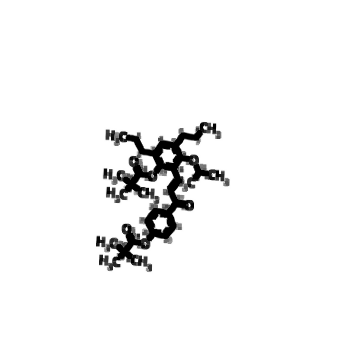 CCCc1cc(CCC)c(OC(C)C)c(C=CC(=O)c2ccc(OC(=O)C(C)(C)C)cc2)c1OC(=O)C(C)(C)C